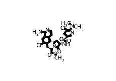 COC(=O)[C@@H](Cc1cc2ccnc(N)c2cc1Cl)N1CC[C@H](NS(=O)(=O)c2cnc(N(C)C)c(Cl)c2)C1=O